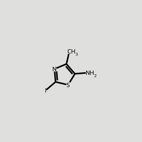 Cc1nc(I)sc1N